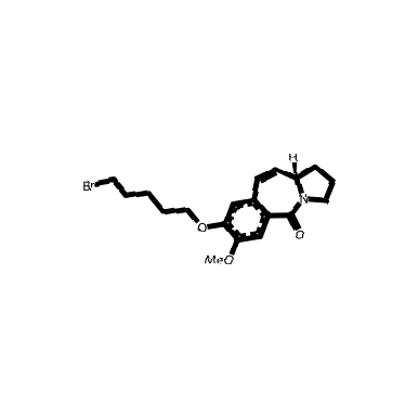 COc1cc2c(cc1OCCCCCBr)C=C[C@@H]1CCCN1C2=O